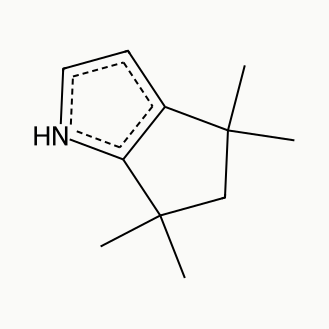 CC1(C)CC(C)(C)c2[nH]ccc21